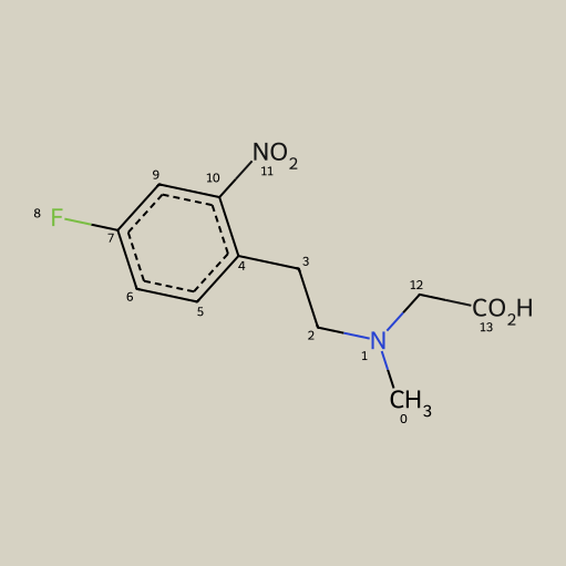 CN(CCc1ccc(F)cc1[N+](=O)[O-])CC(=O)O